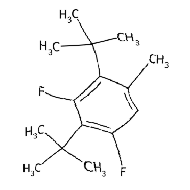 Cc1cc(F)c(C(C)(C)C)c(F)c1C(C)(C)C